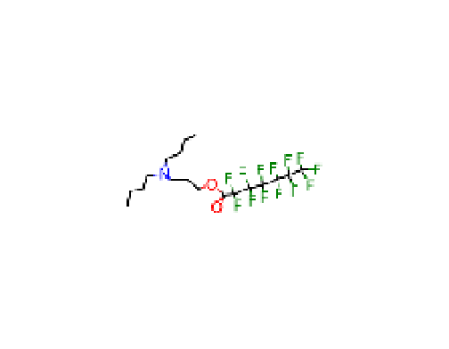 CCCCN(CCCC)CCCOC(=O)C(F)(F)C(F)(F)C(F)(F)C(F)(F)C(F)(F)C(F)(F)F